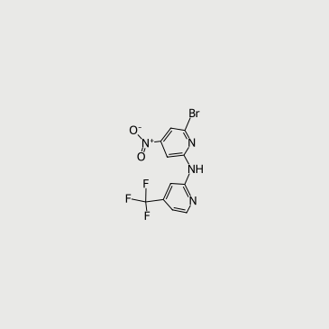 O=[N+]([O-])c1cc(Br)nc(Nc2cc(C(F)(F)F)ccn2)c1